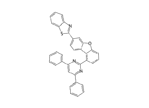 c1ccc(-c2cc(-c3ccccc3)nc(-c3cccc4oc5cc(-c6nc7ccccc7s6)ccc5c34)n2)cc1